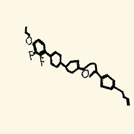 C=CCCC1CCC(C2CCC(C3CCC(C4CCC(c5ccc(OCCC)c(F)c5F)CC4)CC3)OC2)CC1